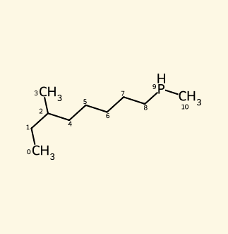 CCC(C)CCCCCPC